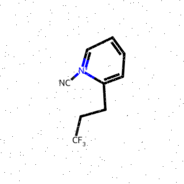 N#C[n+]1ccccc1CCC(F)(F)F